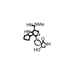 CNC(=N)c1cnc(N2CCC[C@@]3(C2)C(=O)NC[C@H]3O)c2c1[nH]c1ccccc12